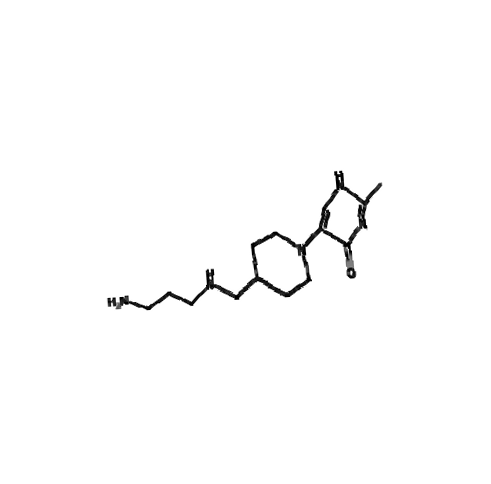 Cc1nc(=O)c(N2CCC(CNCCCN)CC2)c[nH]1